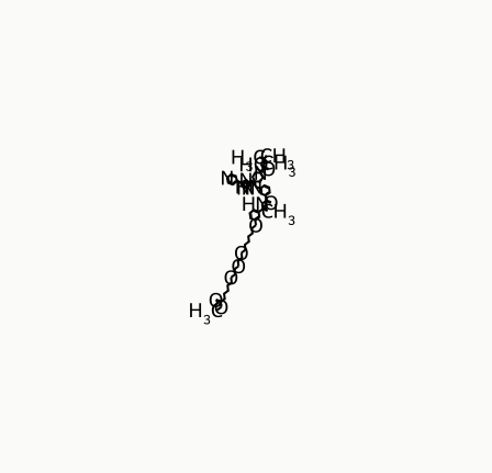 COC(=O)CCCCCOCCOCCOCCCCCCOc1cccc(C(C)NC(=O)c2cccc(NC3(c4nnc(-c5ccncc5)[nH]4)CCN(C(=O)OC(C)(C)C)CC3)c2)c1